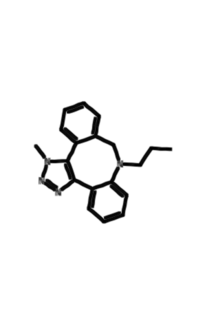 CCCN1Cc2ccccc2-c2c(nnn2C)-c2ccccc21